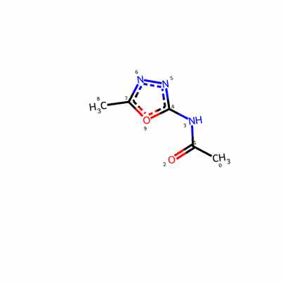 CC(=O)Nc1nnc(C)o1